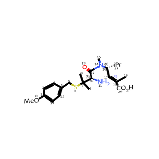 COc1ccc(CSC(C)(C)[C@H](N)C(=O)N(C)[C@@H](/C=C(\C)C(=O)O)C(C)C)cc1